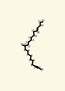 [CH2]C#CCCCCCCCC(C)CCCCCCCCCC[CH2]